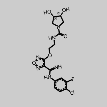 N=C(Nc1ccc(Cl)c(F)c1)c1nonc1OCCNC(=O)N1C[C@@H](O)[C@@H](O)C1